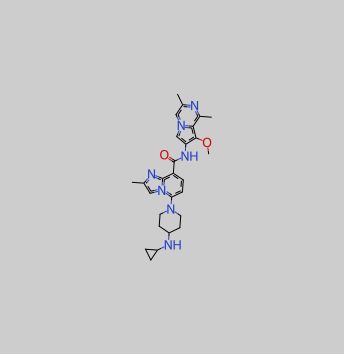 COc1c(NC(=O)c2ccc(N3CCC(NC4CC4)CC3)n3cc(C)nc23)cn2cc(C)nc(C)c12